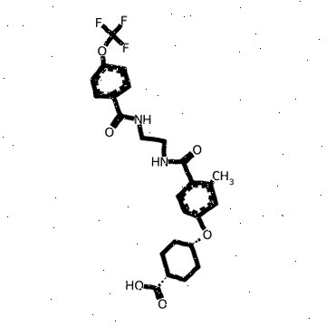 Cc1cc(O[C@H]2CC[C@@H](C(=O)O)CC2)ccc1C(=O)NCCNC(=O)c1ccc(OC(F)(F)F)cc1